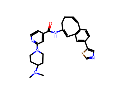 CN(C)C1CCN(c2cc(C(=O)N/C3=C/c4cc(-c5cncs5)ccc4/C=C\CC3)ccn2)CC1